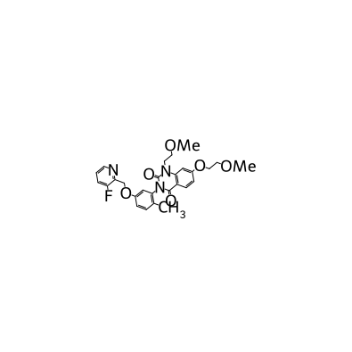 COCCOc1ccc2c(=O)n(-c3cc(OCc4ncccc4F)ccc3C)c(=O)n(CCOC)c2c1